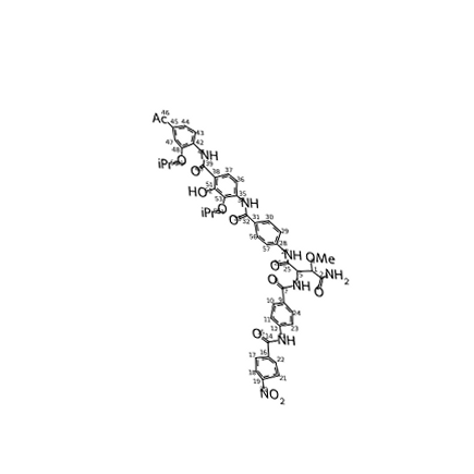 COC(C(N)=O)C(NC(=O)c1ccc(NC(=O)c2ccc([N+](=O)[O-])cc2)cc1)C(=O)Nc1ccc(C(=O)Nc2ccc(C(=O)Nc3ccc(C(C)=O)cc3OC(C)C)c(O)c2OC(C)C)cc1